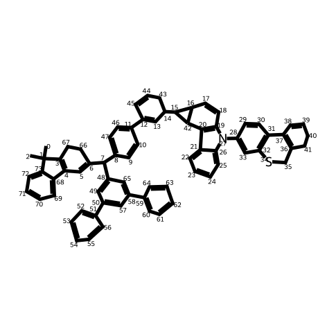 CC1(C)C2=C(C=C(C(c3ccc(C4=CC(C5C6C=Cc7c(c8ccccc8n7-c7ccc8c(c7)SCC7=C8C=CCC7)C65)CC=C4)cc3)c3cc(-c4ccccc4)cc(-c4ccccc4)c3)CC2)c2ccccc21